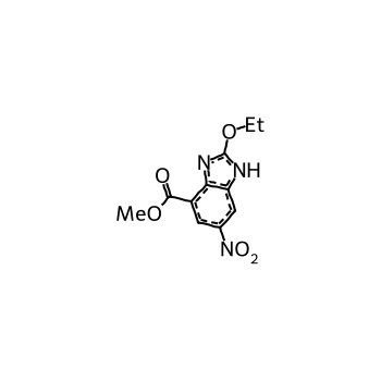 CCOc1nc2c(C(=O)OC)cc([N+](=O)[O-])cc2[nH]1